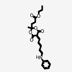 CCCOC(=O)CCC1(C)OC(=O)C(=C/C=C/C=C/Nc2ccccc2)C(=O)O1